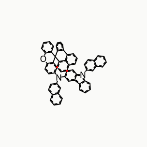 c1ccc2c(c1)Oc1ccc(N(c3ccc4ccccc4c3)c3ccc4c(c3)c3ccccc3n4-c3ccc4ccccc4c3)cc1C21c2ccccc2-c2cccc3cccc1c23